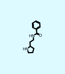 O=C(NCCC1CCCN1)c1ccccc1